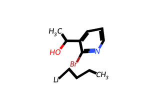 CC(O)c1cccnc1Br.[Li][CH2]CCC